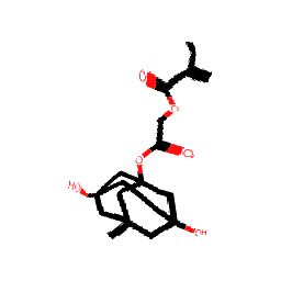 C=C(C)C(=O)OCC(=O)OC12CC3(C)CC(O)(CC(O)(C3)C1)C2